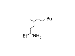 CCC(C)CCC(C)CC[C@@H](N)CC